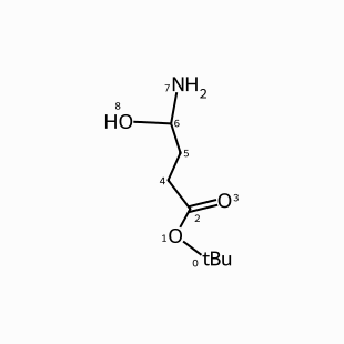 CC(C)(C)OC(=O)CCC(N)O